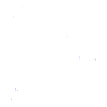 CN(Cc1coc(/C=C/c2ccc3c(c2)OCO3)n1)c1ccc(CCCCn2ccnn2)cc1